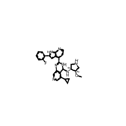 CO[C@@H]1CNC[C@H]1NC1NC(c2ccnc3[nH]c(-c4ccccc4F)cc23)=Nc2cncc(C3CC3)c21